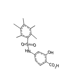 Cc1c(C)c(C)c(S(=O)(=O)Nc2ccc(C(=O)O)c(O)c2)c(C)c1C